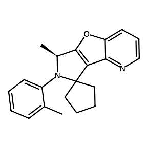 Cc1ccccc1N1[C@@H](C)c2oc3cccnc3c2C12CCCC2